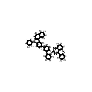 c1ccc(-n2c3ccc(-c4ccc5c(c4)c4ccccc4n5-c4nc5c6c(cccc6n4)Sc4ccccc4-5)cc3c3c4ccccc4ccc32)cc1